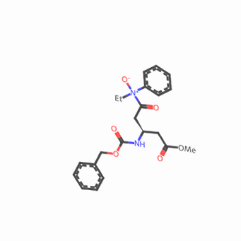 CC[N+]([O-])(C(=O)C[C@@H](CC(=O)OC)NC(=O)OCc1ccccc1)c1ccccc1